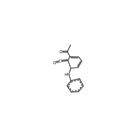 CC(=O)C1=[C]C=CC(Nc2ccccc2)C1=C=O